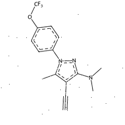 C#Cc1c(N(C)C)nn(-c2ccc(OC(F)(F)F)cc2)c1C